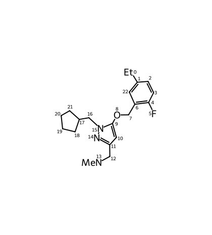 CCc1ccc(F)c(COc2cc(CNC)nn2CC2CCCC2)c1